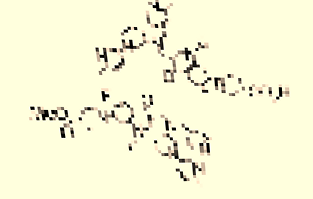 COC(=O)C1CCN(c2cc3c(cc2F)c(=O)c(CN(Cc2ccnc(C)c2)[C@H]2CCCN(c4ccc(C)nc4)C2)cn3C2CC2)CC1.Cc1ccc(N2CCC[C@H](N(Cc3ccnc(C)c3)Cc3cn(C4CC4)c4cc(N5CCC(C(=O)O)CC5)c(F)cc4c3=O)C2)cn1